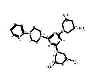 N[C@@H]1C[C@H](N)CN(c2nc(N3CCN(c4ccccn4)CC3)nc(N3C[C@H](N)C[C@H](N)C3)n2)C1